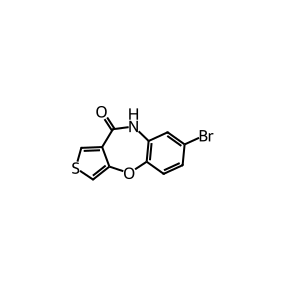 O=C1Nc2cc(Br)ccc2Oc2cscc21